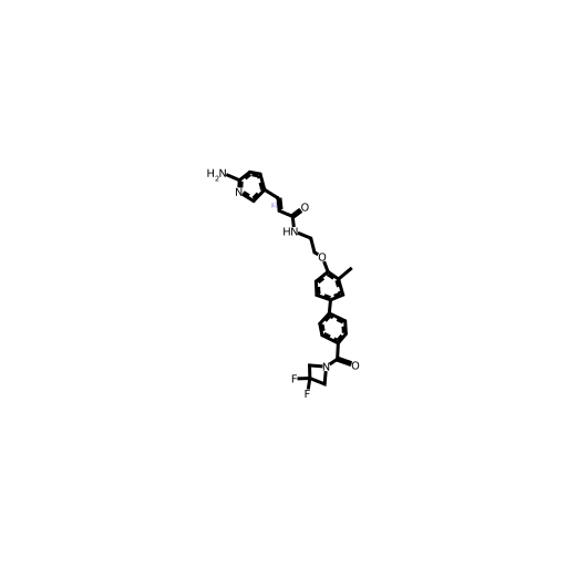 Cc1cc(-c2ccc(C(=O)N3CC(F)(F)C3)cc2)ccc1OCCNC(=O)/C=C/c1ccc(N)nc1